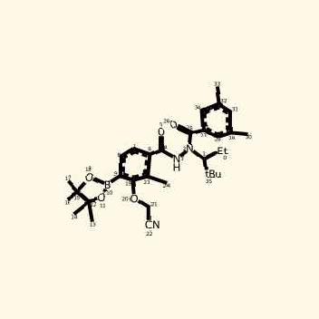 CCC(N(NC(=O)c1ccc(B2OC(C)(C)C(C)(C)O2)c(OCC#N)c1C)C(=O)c1cc(C)cc(C)c1)C(C)(C)C